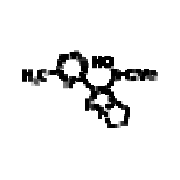 COB(O)c1c(-c2cccc(C)n2)nn2c1CCC2